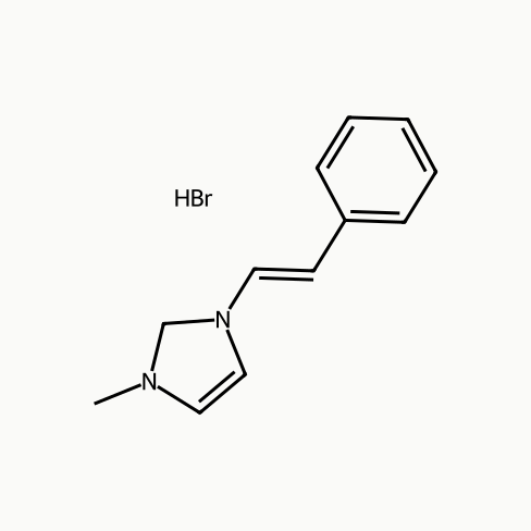 Br.CN1C=CN(C=Cc2ccccc2)C1